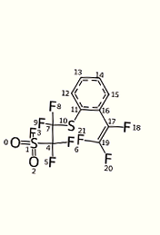 O=S(=O)(F)C(F)(F)C(F)(F)Sc1ccccc1C(F)=C(F)F